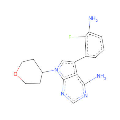 Nc1cccc(-c2cn(C3CCOCC3)c3ncnc(N)c23)c1F